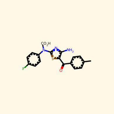 Cc1ccc(C(=O)c2sc(N(C(=O)O)c3ccc(F)cc3)nc2N)cc1